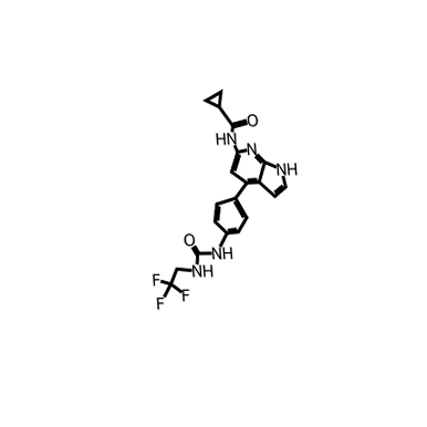 O=C(NCC(F)(F)F)Nc1ccc(-c2cc(NC(=O)C3CC3)nc3[nH]ccc23)cc1